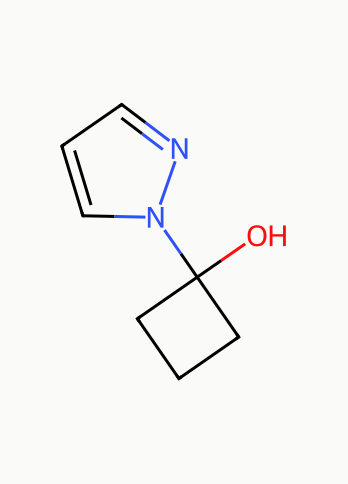 OC1(n2cccn2)CCC1